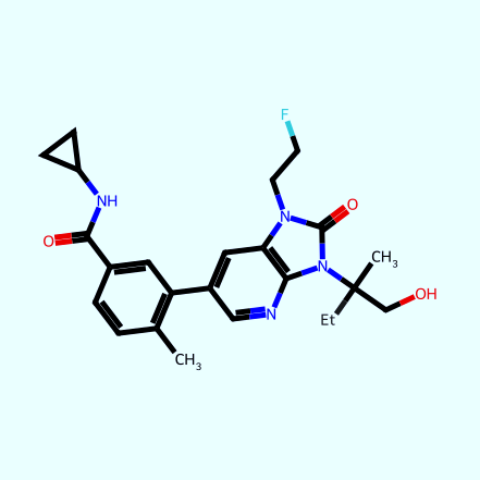 CCC(C)(CO)n1c(=O)n(CCF)c2cc(-c3cc(C(=O)NC4CC4)ccc3C)cnc21